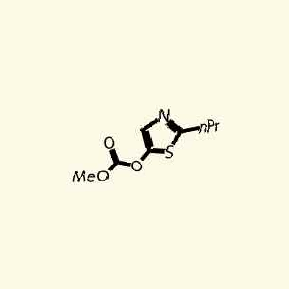 CCCc1ncc(OC(=O)OC)s1